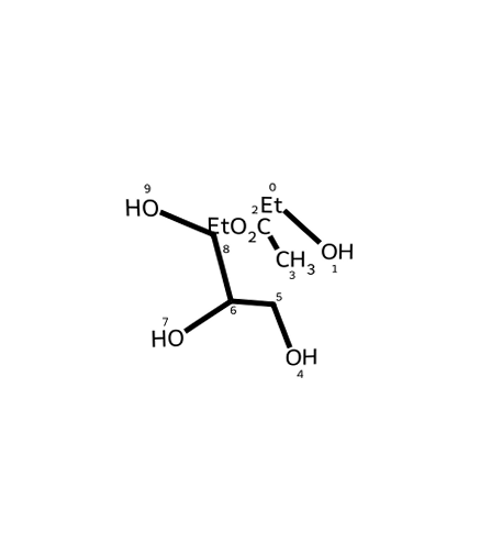 CCO.CCOC(C)=O.OCC(O)CO